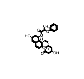 CC(Oc1ccccc1)C(=O)O[C@H]1C[C@H](O)C=C2C=C[C@H](C)[C@H](CC[C@@H]3C[C@@H](O)CC(=O)O3)[C@H]21